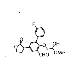 COC(O)COc1c(C=O)cc(C2CCOC2=O)cc1-c1cccc(F)c1